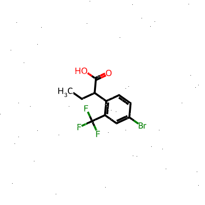 CCC(C(=O)O)c1ccc(Br)cc1C(F)(F)F